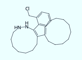 ClCc1ccccc1C1=C(C2=CCCCCCCCCC2)CCCCCCCNN1